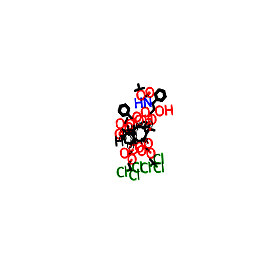 CC(=O)O[C@@]12CO[C@@H]1C[C@H](OC(=O)OCC(Cl)(Cl)Cl)[C@@]1(C)C(=O)[C@H](OC(=O)OCC(Cl)(Cl)Cl)C3=C(C)[C@@H](OC(=O)C(O)C(NC(=O)OC(C)(C)C)c4ccccc4)C[C@@](O)([C@@H](OC(=O)c4ccccc4)[C@H]21)C3(C)C